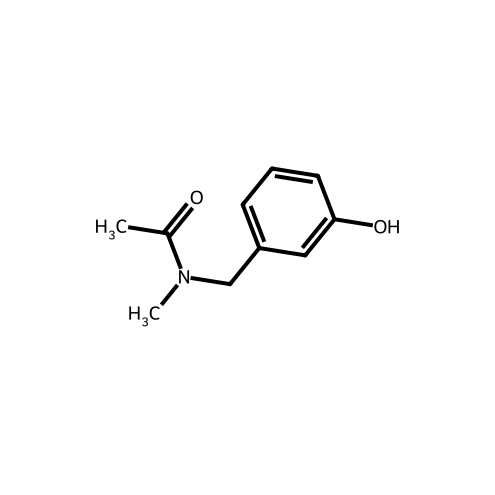 CC(=O)N(C)Cc1cccc(O)c1